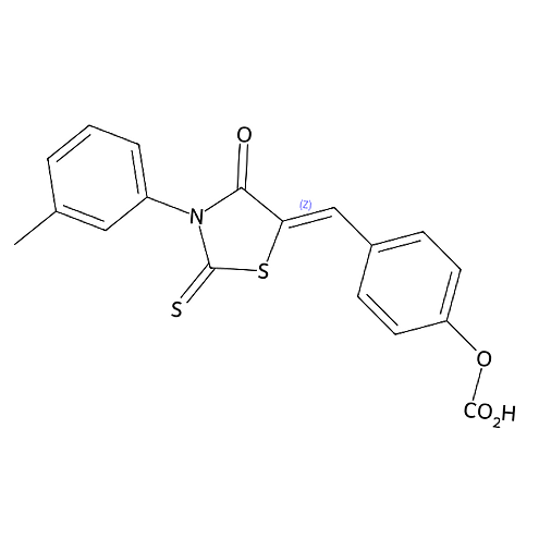 Cc1cccc(N2C(=O)/C(=C/c3ccc(OC(=O)O)cc3)SC2=S)c1